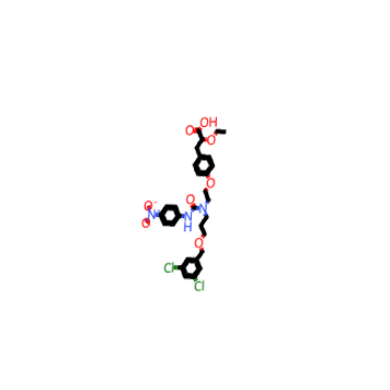 CCOC(Cc1ccc(OCCN(CCCOCc2cc(Cl)cc(Cl)c2)C(=O)Nc2ccc([N+](=O)[O-])cc2)cc1)C(=O)O